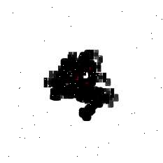 Cc1cc2ccc1Oc1cc3cc(c1O[C@@H]1O[C@H](CO)[C@@H](O)[C@H](O)[C@H]1O[C@H]1C[C@](C)(NC(=O)OCc4ccc([N+](=O)[O-])cc4)[C@H](O)[C@H](C)O1)Oc1ccc(cc1Cl)[C@@H](O)[C@@H]1NC(=O)[C@H](NC(=O)[C@@H]3NC(=O)[C@H](CC(N)=O)NC(=O)[C@H](NC(=O)[C@@H](CC(C)C)N(C)C(=O)OCc3ccc([N+](=O)[O-])cc3)[C@@H]2O)c2ccc3c(c2)-c2c(cc(O)cc2C3(O)O)[C@@H](C(=O)NC2C3CC4CC(C3)CC2C4)NC1=O